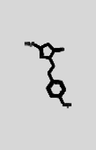 O=C(O)C1=NN(CCc2ccc(S(=O)(=O)O)cc2)C(=O)C1